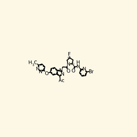 CC(=O)c1nn(CC(=O)N2C[C@H](F)C[C@H]2C(=O)Nc2cccc(Br)n2)c2ccc(Oc3ccc(C)nn3)cc12